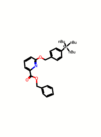 CCC[CH2][Sn]([CH2]CCC)([CH2]CCC)[c]1ccc(COc2cccc(C(=O)OCc3ccccc3)n2)cc1